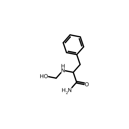 NC(=O)C(Cc1ccccc1)NCO